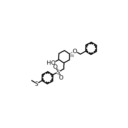 CSc1ccc(S(=O)(=O)CC2C[C@@H](OCc3ccccc3)CCC2O)cc1